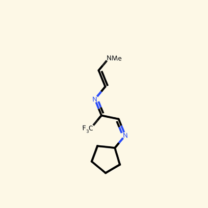 CN/C=C/N=C(\C=N/C1CCCC1)C(F)(F)F